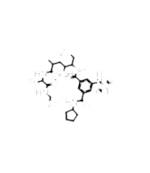 CCS(=O)(=O)Nc1cc(C(=O)NC2CCCC2)cc(C(=O)NC(CC(C)C)C(O)CC(C)C(=O)NC(C(=O)NCC(C)C)C(C)C)c1